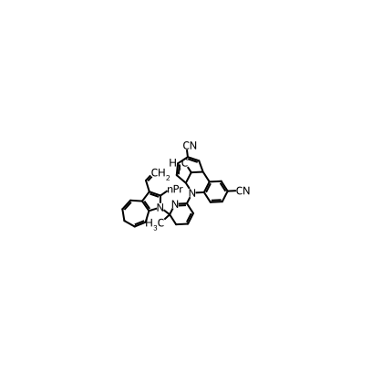 C=Cc1c2c(n(C3(C)CC=CC(N4c5ccc(C#N)cc5C5C=C(C#N)C=CC4C5C)=N3)c1CCC)C=CCC=C2